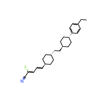 CCc1ccc([C@H]2CC[C@H](CC[C@H]3CC[C@H](/C=C/C=C(\F)C#N)CC3)CC2)cc1